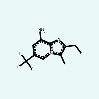 CCc1nc2c(N)cc(C(F)(F)F)cn2c1C